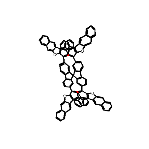 c1ccc2cc3c(cc2c1)oc1c(-c2ccc4c(c2)C2(c5cc(-c6cc7ccccc7c7c6oc6cc8ccccc8cc67)ccc5-4)c4cc(-c5cc6ccccc6c6c5oc5cc7ccccc7cc56)ccc4-c4ccc(-c5cc6ccccc6c6c5oc5cc7ccccc7cc56)cc42)cc2ccccc2c13